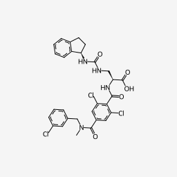 CN(Cc1cccc(Cl)c1)C(=O)c1cc(Cl)c(C(=O)N[C@@H](CNC(=O)N[C@@H]2CCc3ccccc32)C(=O)O)c(Cl)c1